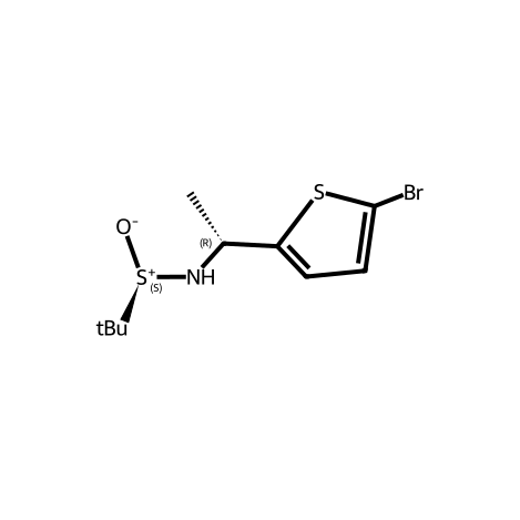 C[C@@H](N[S@+]([O-])C(C)(C)C)c1ccc(Br)s1